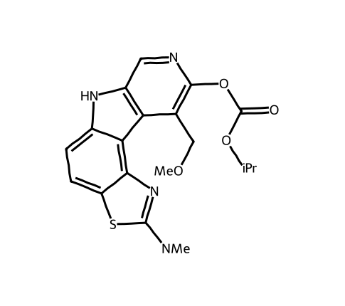 CNc1nc2c(ccc3[nH]c4cnc(OC(=O)OC(C)C)c(COC)c4c32)s1